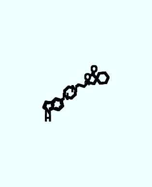 O=C1O[C@H](CCN2CCN(c3ccc4[nH]ccc4c3)CC2)CC12CCCCC2